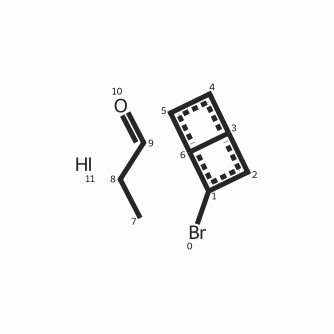 Brc1cc2ccc1-2.CCC=O.I